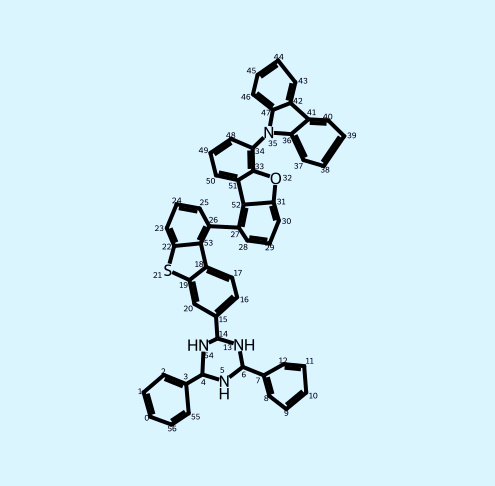 c1ccc(C2NC(c3ccccc3)NC(c3ccc4c(c3)sc3cccc(-c5cccc6oc7c(-n8c9ccccc9c9ccccc98)cccc7c56)c34)N2)cc1